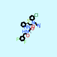 C[C@H](NC(=O)Cc1cc(F)cc(F)c1)C(=O)N[C@@H]1C(=O)N(CCN(C)C)c2cc(Cl)ccc2S[C@@H]1c1ccccc1